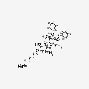 CC1OC(OCCCCCCN=[N+]=[N-])C(O)C(OC2OC(C)C(OCc3ccccc3)C(OCc3ccccc3)C2C)C1O